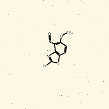 COc1ccc2sc(Br)nc2c1N=O